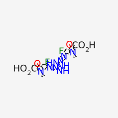 N=C(NC(=N)N1CCN(c2cc3c(cc2F)c(=O)c(C(=O)O)cn3C2CC2)CC1)N1CCN(c2cc3c(cc2F)c(=O)c(C(=O)O)cn3C2CC2)CC1